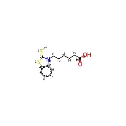 CSC1Sc2ccccc2N1CCCCCC(=O)O